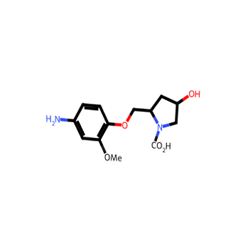 COc1cc(N)ccc1OCC1CC(O)CN1C(=O)O